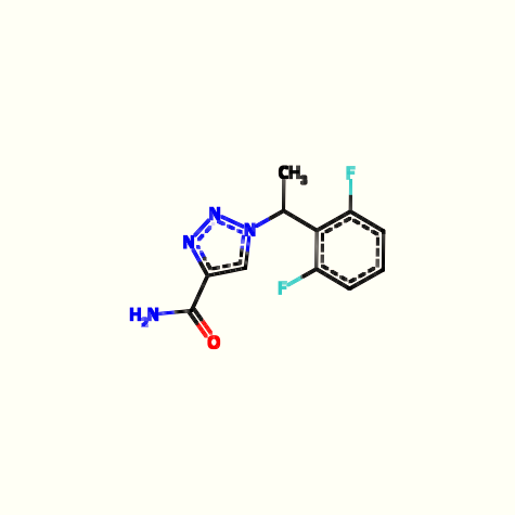 CC(c1c(F)cccc1F)n1cc(C(N)=O)nn1